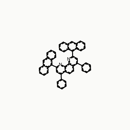 c1ccc(-c2cc(-c3c4ccccc4cc4ccccc34)nc3c2ccc2c(-c4ccccc4)cc(-c4c5ccccc5cc5ccccc45)nc23)cc1